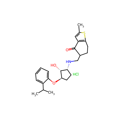 Cc1cc2c(s1)CCC(CN[C@@H]1CC[C@@H](Oc3ccccc3C(C)C)[C@@H]1O)C2=O.Cl